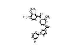 COc1cc(C(=O)N2CCN(C(=O)c3ncn(-c4cccc(Cl)c4)n3)CC2C)ccc1C